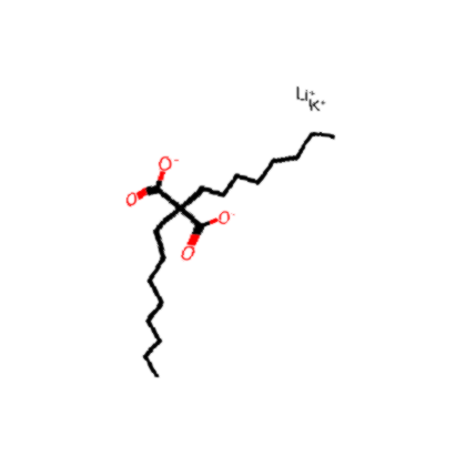 CCCCCCCCC(CCCCCCCC)(C(=O)[O-])C(=O)[O-].[K+].[Li+]